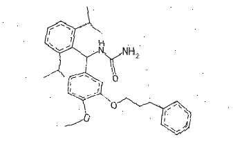 COc1ccc(C(NC(N)=O)c2c(C(C)C)cccc2C(C)C)cc1OCCCc1ccccc1